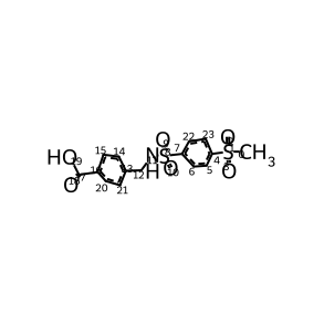 CS(=O)(=O)c1ccc(S(=O)(=O)NCc2ccc(C(=O)O)cc2)cc1